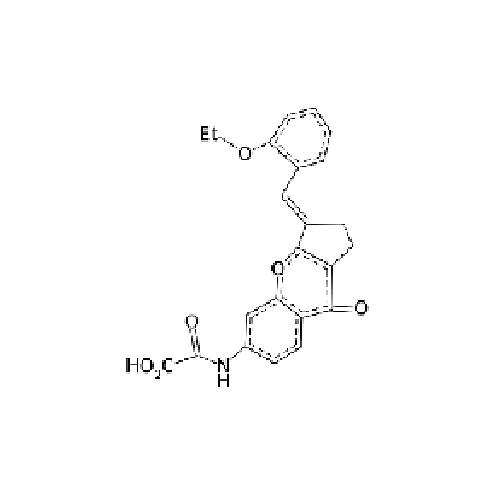 CCOc1ccccc1C=C1CCc2c1oc1cc(NC(=O)C(=O)O)ccc1c2=O